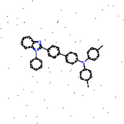 Cc1ccc(N(c2ccc(C)cc2)c2ccc(-c3ccc(-c4nc5ccccc5n4-c4ccccc4)cc3)cc2)cc1